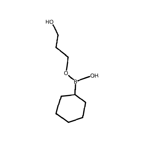 OCCCOB(O)C1CCCCC1